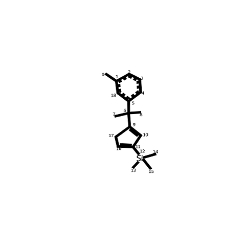 Cc1cccc(C(C)(C)C2=CC([Si](C)(C)C)=CC2)c1